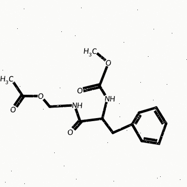 COC(=O)NC(Cc1ccccc1)C(=O)NCOC(C)=O